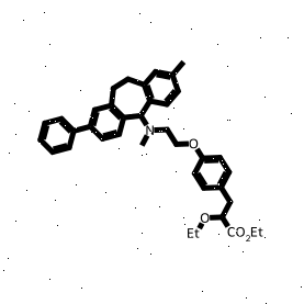 CCOC(=O)C(Cc1ccc(OCCN(C)C2c3ccc(C)cc3CCc3cc(-c4ccccc4)ccc32)cc1)OCC